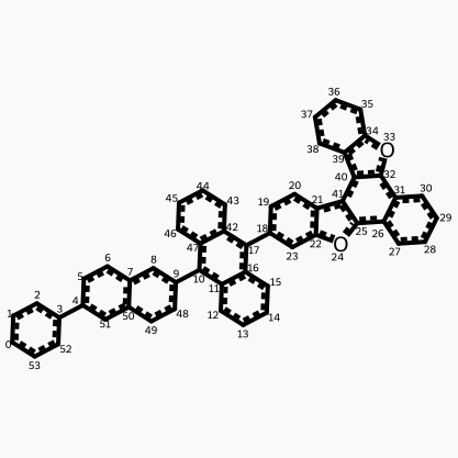 c1ccc(-c2ccc3cc(-c4c5ccccc5c(-c5ccc6c(c5)oc5c7ccccc7c7oc8ccccc8c7c65)c5ccccc45)ccc3c2)cc1